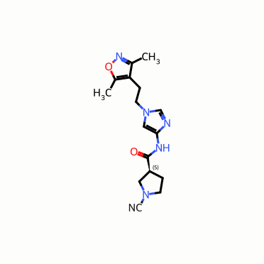 Cc1noc(C)c1CCn1cnc(NC(=O)[C@H]2CCN(C#N)C2)c1